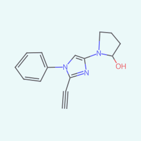 C#Cc1nc(N2CCCC2O)cn1-c1ccccc1